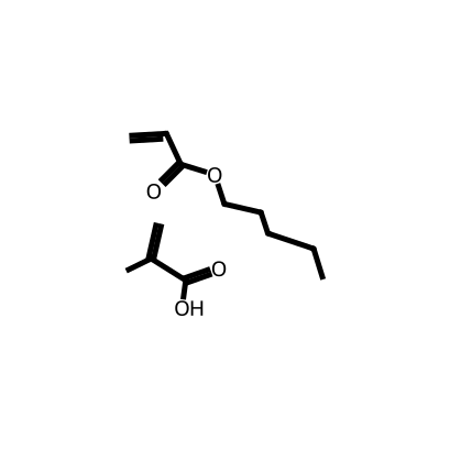 C=C(C)C(=O)O.C=CC(=O)OCCCCC